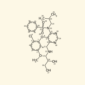 COc1ccc(Cl)c(Oc2c(CNCC(O)CO)ncnc2N(CC(C)C)S(=O)(=O)c2ccccc2)c1